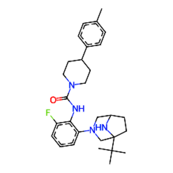 Cc1ccc(C2CCN(C(=O)Nc3c(F)cccc3N3CC4CCC(C(C)(C)C)(C3)N4)CC2)cc1